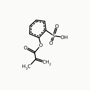 C=C(C)C(=O)Oc1ccccc1S(=O)(=O)O